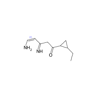 CCC1CC1C(=O)CC(=N)/C=C\N